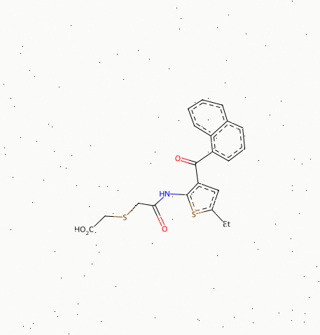 CCc1cc(C(=O)c2cccc3ccccc23)c(NC(=O)CSCC(=O)O)s1